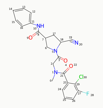 CN(CC(=O)N1CC(C(=O)Nc2ccccc2)CC1C#N)C(=O)c1cccc(F)c1Cl